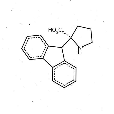 O=C(O)[C@]1(C2c3ccccc3-c3ccccc32)CCCN1